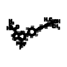 CNC(=O)c1csc2c(C(F)(F)F)cc(N3CCC(C#CC#CC(C)(C)O)CC3)nc12